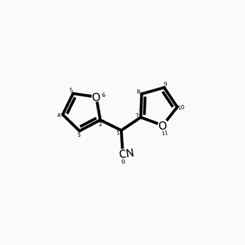 N#CC(c1ccco1)c1ccco1